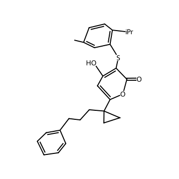 Cc1ccc(C(C)C)c(Sc2c(O)cc(C3(CCCc4ccccc4)CC3)oc2=O)c1